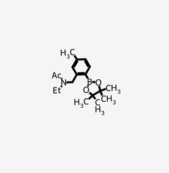 CCN(Cc1cc(C)ccc1B1OC(C)(C)C(C)(C)O1)C(C)=O